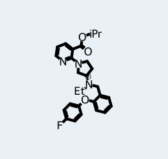 CCN(Cc1ccccc1Oc1ccc(F)cc1)[C@@H]1CCN(c2ncccc2C(=O)OC(C)C)C1